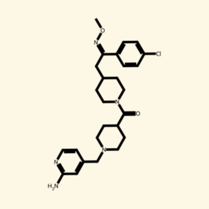 CO/N=C(/CC1CCN(C(=O)C2CCN(Cc3ccnc(N)c3)CC2)CC1)c1ccc(Cl)cc1